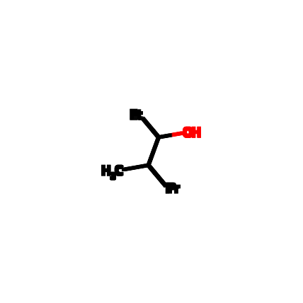 CCC(O)C(C)C(C)C